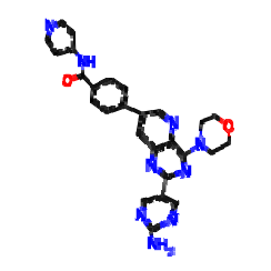 Nc1ncc(-c2nc(N3CCOCC3)c3ncc(-c4ccc(C(=O)Nc5ccncc5)cc4)cc3n2)cn1